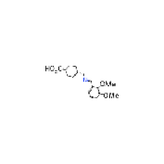 COc1cccc(C=NC[C@H]2CC[C@H](C(=O)O)CC2)c1OC